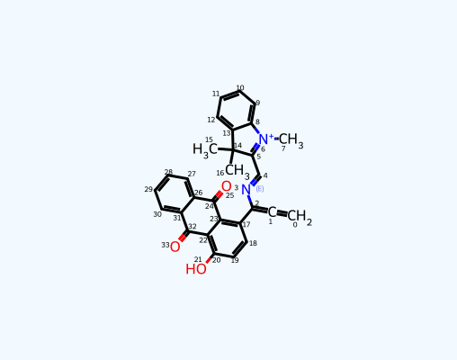 C=C=C(/N=C/C1=[N+](C)c2ccccc2C1(C)C)c1ccc(O)c2c1C(=O)c1ccccc1C2=O